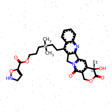 CC[C@@]1(O)C(=O)OCc2c1cc1n(c2=O)Cc2c-1nc1ccccc1c2CC[Si](C)(C)CCCOC(=O)C1=CCNO1